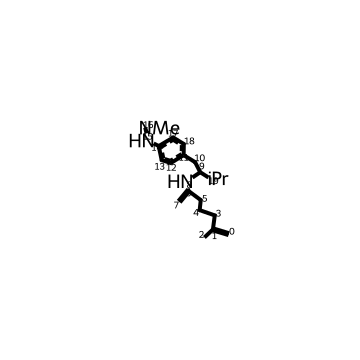 C=C(C)CCCC(=C)NC(Cc1ccc(NNC)cc1)C(C)C